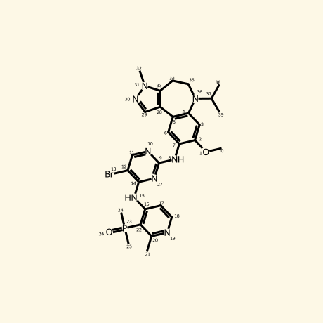 COc1cc2c(cc1Nc1ncc(Br)c(Nc3ccnc(C)c3P(C)(C)=O)n1)-c1cnn(C)c1CCN2C(C)C